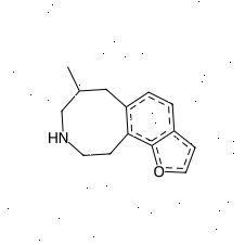 CC1CNCCc2c(ccc3ccoc23)C1